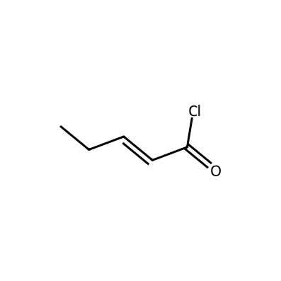 CC/C=C/C(=O)Cl